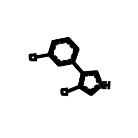 Clc1cccc(-c2c[nH]cc2Cl)c1